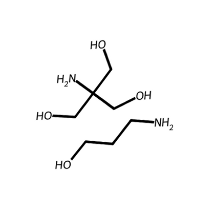 NC(CO)(CO)CO.NCCCO